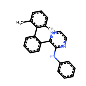 Cc1cccc(C)c1-c1c[c]ccc1-c1nccnc1Nc1ccccc1